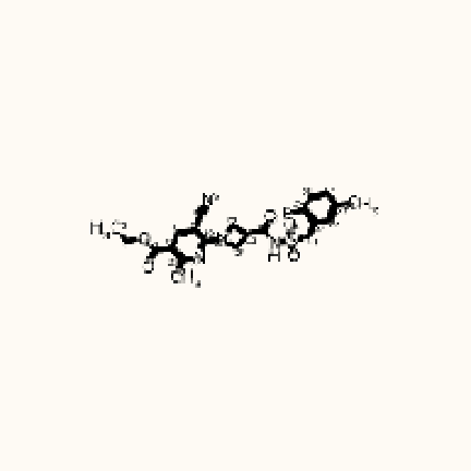 CCOC(=O)c1cc(C#N)c(N2CC(C(=O)NS(=O)(=O)Cc3cc(C)ccc3F)C2)nc1C